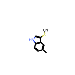 Cc1ccc2[nH]cc(SC#N)c2c1